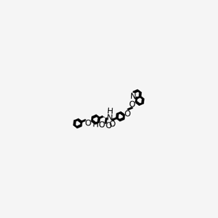 O=C(N[C@@H](Cc1ccc(OCc2ccccc2)cc1)C(=O)O)c1ccc(OCCOc2cccc3cccnc23)cc1